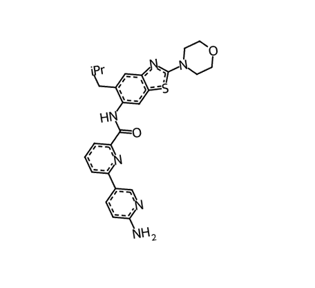 CC(C)Cc1cc2nc(N3CCOCC3)sc2cc1NC(=O)c1cccc(-c2ccc(N)nc2)n1